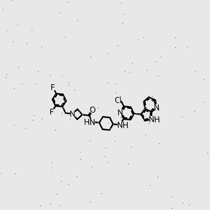 O=C(NC1CCC(Nc2cc(-c3c[nH]c4ncccc34)cc(Cl)n2)CC1)C1CN(Cc2ccc(F)cc2F)C1